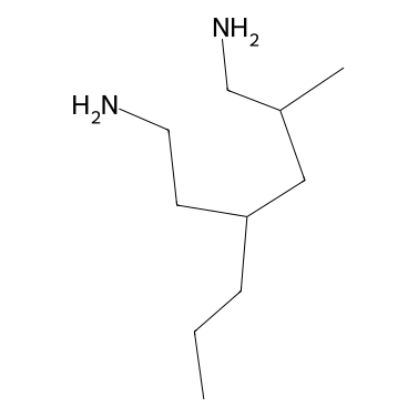 CCCC(CCN)CC(C)CN